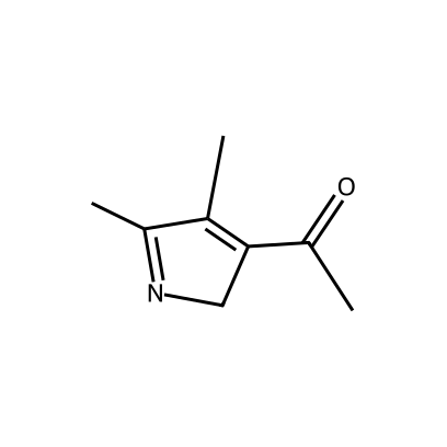 CC(=O)C1=C(C)C(C)=NC1